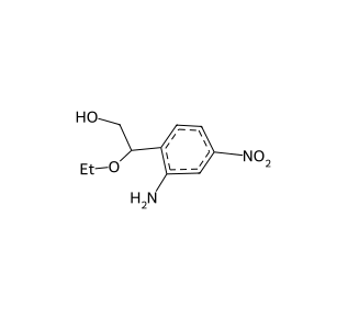 CCOC(CO)c1ccc([N+](=O)[O-])cc1N